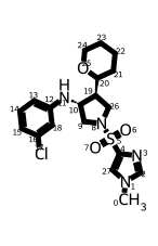 Cn1cnc(S(=O)(=O)N2C[C@H](Nc3cccc(Cl)c3)[C@@H](C3CCCCO3)C2)c1